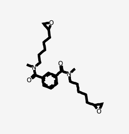 CN(CCCCCC1CO1)C(=O)c1cccc(C(=O)N(C)CCCCCC2CO2)c1